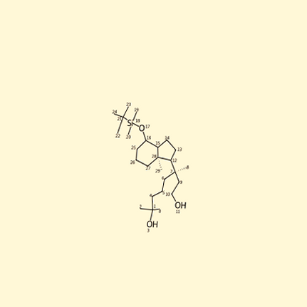 CC(C)(O)CCC[C@](C)(CCO)C1CCC2C(O[Si](C)(C)C(C)(C)C)CCC[C@@]21C